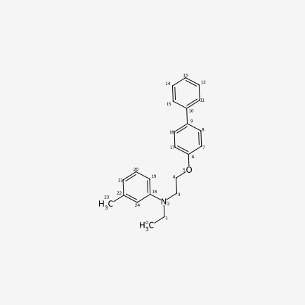 CCN(CCOc1ccc(-c2ccccc2)cc1)c1cccc(C)c1